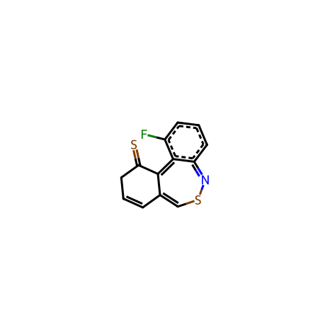 Fc1cccc2c1=C1C(=S)CC=CC1=CSN=2